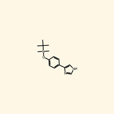 CC(C)(C)[Si](C)(C)Oc1ccc(-c2c[nH]cn2)cc1